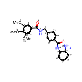 COc1cc(C(=O)NCc2ccc(C(=O)Nc3ccccc3N)cc2)cc(OC)c1OC